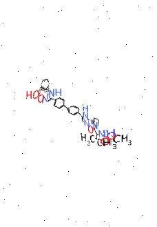 COC(=O)NC(C(=O)N1CCC[C@H]1c1ncc(-c2ccc(-c3ccc(-c4cnc([C@H]5CCCC[C@H]5C(=O)O)[nH]4)cc3)cc2)[nH]1)C(C)C